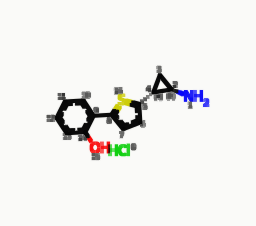 Cl.N[C@@H]1C[C@H]1c1ccc(-c2ccccc2O)s1